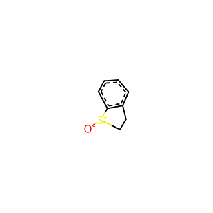 [O-][S+]1CCc2ccccc21